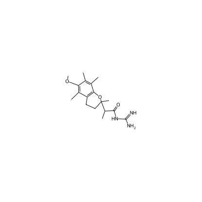 COc1c(C)c(C)c2c(c1C)CCC(C)(C(C)C(=O)NC(=N)N)O2